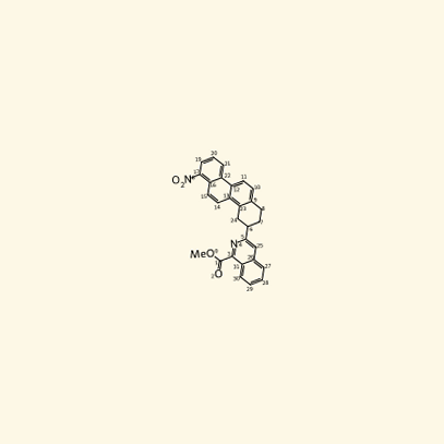 COC(=O)c1nc(C2CCc3ccc4c(ccc5c([N+](=O)[O-])cccc54)c3C2)cc2ccccc12